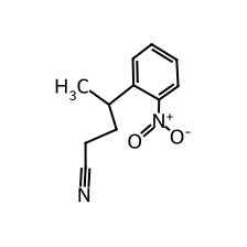 CC(CCC#N)c1ccccc1[N+](=O)[O-]